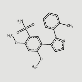 COc1cc(OC)c(S(N)(=O)=O)cc1-c1ccnn1-c1ccccc1C